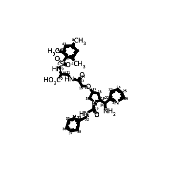 Cc1cc(C)c(S(=O)(=O)NC(CNC(=O)COC2CC(C(N)c3ccccn3)N(C(=O)NCc3ccccc3)C2)C(=O)O)c(C)c1